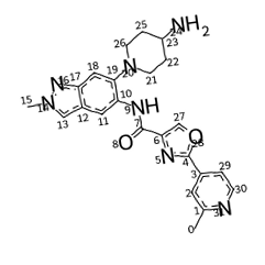 Cc1cc(-c2nc(C(=O)Nc3cc4cn(C)nc4cc3N3CCC(N)CC3)co2)ccn1